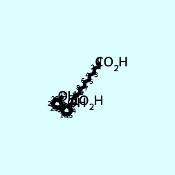 O=C(O)CCCCCCCCCCC(=O)O.Oc1ccccc1.Oc1ccccc1